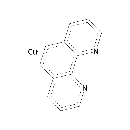 [Cu].c1cnc2c(c1)ccc1cccnc12